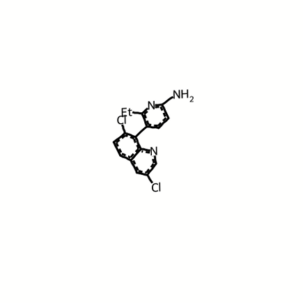 CCc1nc(N)ccc1-c1c(Cl)ccc2cc(Cl)cnc12